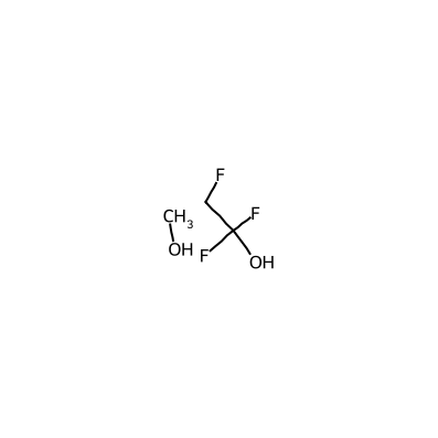 CO.OC(F)(F)CF